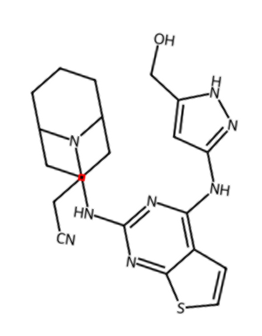 N#CCCN1C2CCCC1CC(Nc1nc(Nc3cc(CO)[nH]n3)c3ccsc3n1)C2